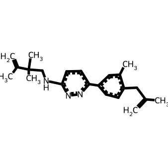 C=C(C)Cc1ccc(-c2ccc(NCC(C)(C)C(=C)C)nn2)cc1C